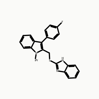 CC(C)n1c(CSc2nc3ccccc3[nH]2)c(-c2ccc(F)cc2)c2ccccc21